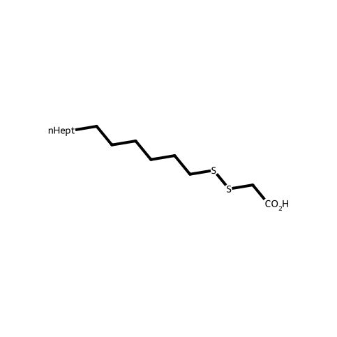 CCCCCCCCCCCCCSSCC(=O)O